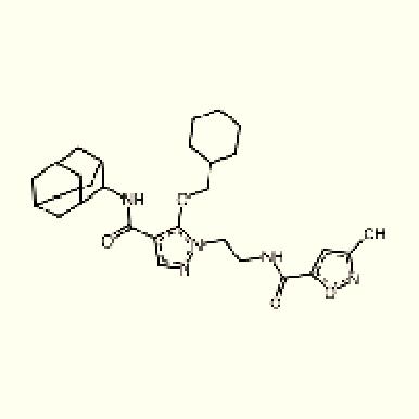 O=C(NCCn1ncc(C(=O)NC2C3CC4CC(C3)CC2C4)c1OCC1CCCCC1)c1cc(O)no1